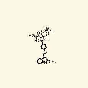 Cc1cc(COc2ccc(C(=O)NC3(CC(=O)NO)COC(C)(C)OC3)cc2)c2ccccc2n1